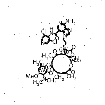 CC[C@H]1OC(=O)/C(C)=C\[C@H](C)[C@@H](O[C@@H]2O[C@H](C)C[C@@H](OC)[C@@H]2N(C)C)[C@](C)(OC)C[C@@H](C)C(=O)[C@H](C)[C@H]2C(SCCn3cnc4c(N)ncc(C(=O)Nc5c(Cl)cncc5Cl)c43)C(=O)O[C@@]21C